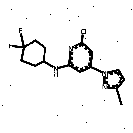 Cc1ccn(-c2cc(Cl)nc(NC3CCC(F)(F)CC3)c2)n1